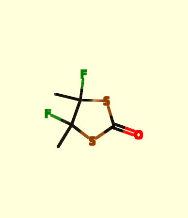 CC1(F)SC(=O)SC1(C)F